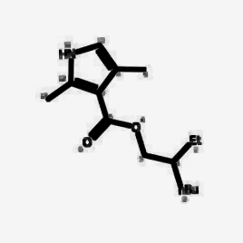 CCCCC(CC)COC(=O)c1c(C)c[nH]c1C